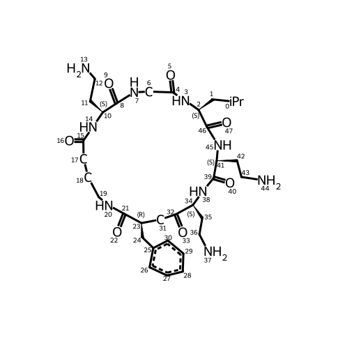 CC(C)C[C@@H]1NC(=O)CNC(=O)[C@H](CCN)NC(=O)CCCNC(=O)[C@H](Cc2ccccc2)CC(=O)[C@H](CCN)NC(=O)[C@H](CCN)NC1=O